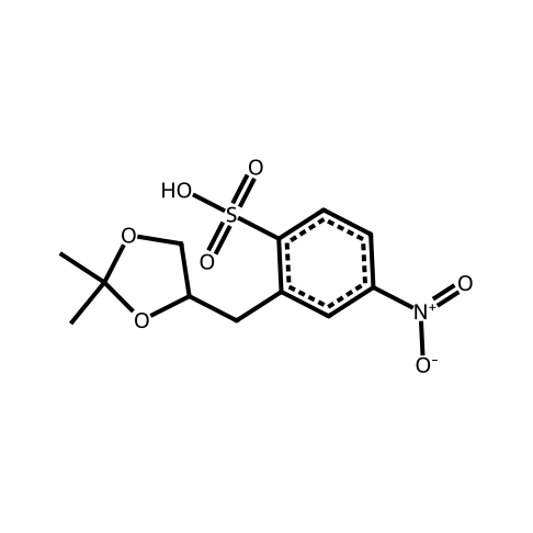 CC1(C)OCC(Cc2cc([N+](=O)[O-])ccc2S(=O)(=O)O)O1